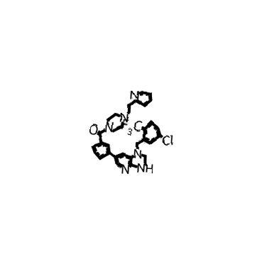 O=C(c1cccc(-c2cnc3c(c2)N(Cc2cc(Cl)ccc2C(F)(F)F)CCN3)c1)N1CCN(CCc2ccccn2)CC1